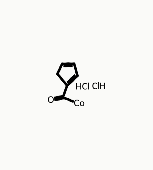 Cl.Cl.O=[C]([Co])C1=CC=CC1